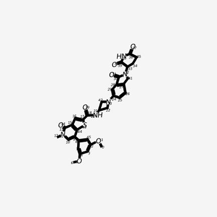 COc1cc(OC)cc(-c2cn(C)c(=O)c3cc(C(=O)NC4CN(c5ccc6c(c5)C(=O)N(C5CCC(=O)NC5=O)C6)C4)sc23)c1